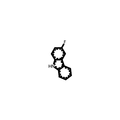 Fc1ccc2[nH]c3[c]cccc3c2c1